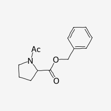 CC(=O)N1CCCC1C(=O)OCc1ccccc1